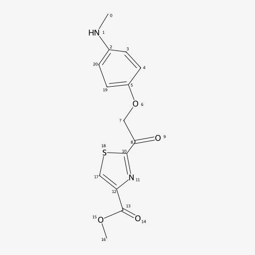 CNc1ccc(OCC(=O)c2nc(C(=O)OC)cs2)cc1